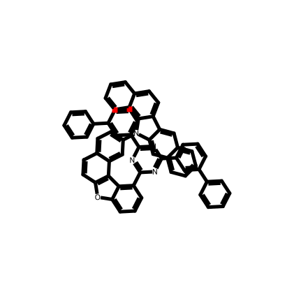 c1ccc(-c2cccc(-c3nc(-c4cccc(-c5ccccc5)c4)nc(-c4cccc5oc6ccc7ccc(-n8c9cc%10ccccc%10cc9c9ccc%10ccccc%10c98)cc7c6c45)n3)c2)cc1